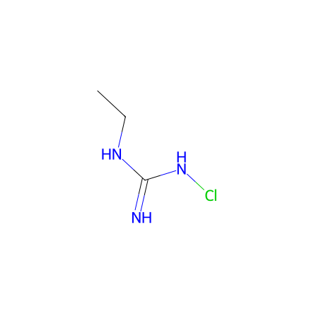 CCNC(=N)NCl